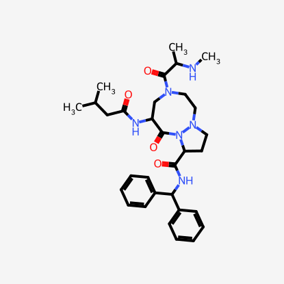 CNC(C)C(=O)N1CCN2CCC(C(=O)NC(c3ccccc3)c3ccccc3)N2C(=O)C(NC(=O)CC(C)C)C1